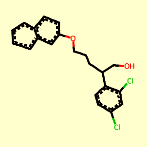 OCC(CCCOc1ccc2ccccc2c1)c1ccc(Cl)cc1Cl